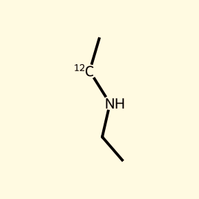 CCN[12CH2]C